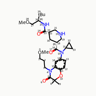 COCCCN1C(=O)C(C)(C)Oc2ccc(N(C(=O)[C@H]3CNC[C@@H](C(=O)N[C@@H](COC)C(C)(C)C)C3)C3CC3)cc21